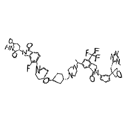 CC(c1cc2c(c(C(F)(F)F)c1)CN(c1cccc(C3(Cc4nncn4C)COC3)c1)C2=O)N1CCN(C[C@H]2CC[C@H](OC3CCN(c4ccc5c(c4F)CN(C4CCC(=O)NC4=O)C5=O)CC3)CC2)CC1